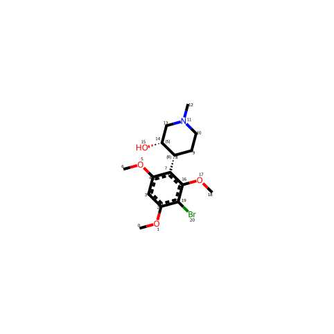 COc1cc(OC)c([C@H]2CCN(C)C[C@H]2O)c(OC)c1Br